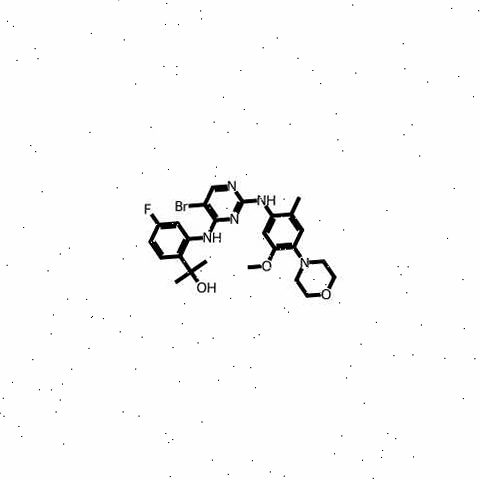 COc1cc(Nc2ncc(Br)c(Nc3cc(F)ccc3C(C)(C)O)n2)c(C)cc1N1CCOCC1